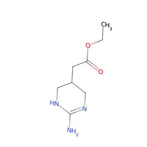 CCOC(=O)CC1CN=C(N)NC1